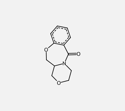 O=C1c2ccccc2OCC2COCCN12